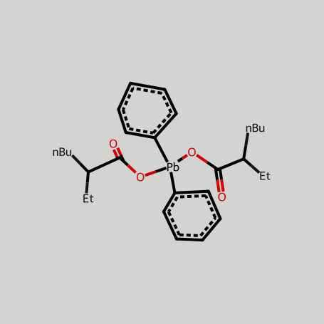 CCCCC(CC)C(=O)[O][Pb]([O]C(=O)C(CC)CCCC)([c]1ccccc1)[c]1ccccc1